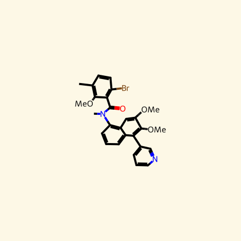 COc1cc2c(N(C)C(=O)c3c(Br)ccc(C)c3OC)cccc2c(-c2cccnc2)c1OC